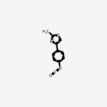 Cc1nc(-c2ccc(N=C=O)cc2)cs1